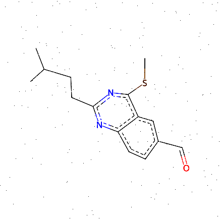 CSc1nc(CCC(C)C)nc2ccc(C=O)cc12